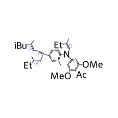 CC/C(C)=C\N(c1cc(OC)c(C(C)=O)c(OC)c1)c1ccc(C(/C=C(\C)CC)=C/C=C(\C)C(C)CC)cc1C